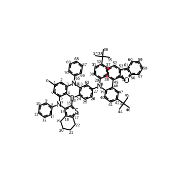 Cc1cc2c3c(c1)N(c1ccccc1)c1c(sc4c1CCCC4)B3c1ccc(N(c3ccc(C(C)(C)C)cc3)c3ccc(C(C)(C)C)cc3-c3cccc4c3oc3ccccc34)cc1N2c1ccccc1